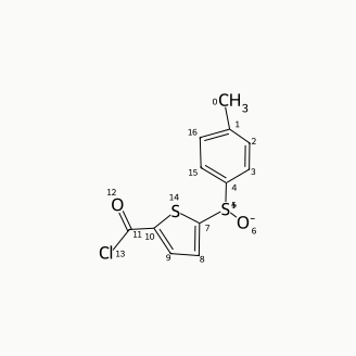 Cc1ccc([S+]([O-])c2ccc(C(=O)Cl)s2)cc1